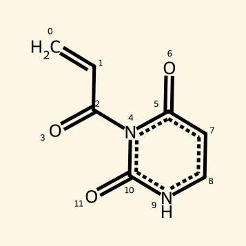 C=CC(=O)n1c(=O)cc[nH]c1=O